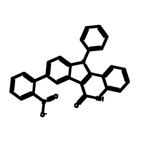 O=c1[nH]c2ccccc2c2c1c1cc(-c3ccccc3[N+](=O)[O-])ccc1n2-c1ccccc1